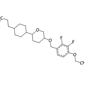 CCCC1CCC(C2CCC(OCc3ccc(OCC)c(F)c3F)CO2)CC1